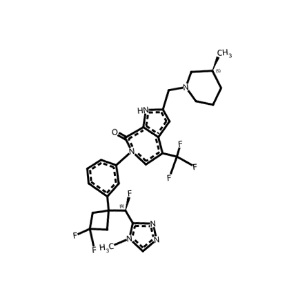 C[C@H]1CCCN(Cc2cc3c(C(F)(F)F)cn(-c4cccc(C5([C@@H](F)c6nncn6C)CC(F)(F)C5)c4)c(=O)c3[nH]2)C1